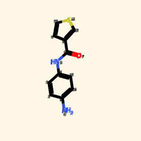 Nc1ccc(NC(=O)c2ccsc2)cc1